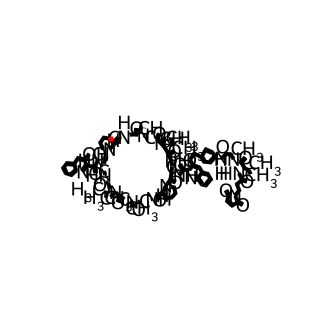 CC(C)[C@H](NC(=O)CCN1C(=O)C=CC1=O)C(=O)N[C@@H](C)C(=O)Nc1ccc(COc2cc3ccccc3nc2C(=O)N[C@@H]2CNC(=O)[C@H](C(C)C)N(C)C(=O)CN(C)C(=O)CNC(=O)[C@@H]3CCCCN3C(=O)[C@H](NC(=O)c3nc4ccccc4cc3O)CNC(=O)[C@H](C(C)C)N(C)C(=O)CN(C)C(=O)CNC(=O)[C@@H]3CCCCN3C2=O)cc1